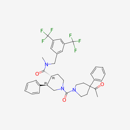 CC(=O)C1(c2ccccc2)CCN(C(=O)N2CC[C@@H](C(=O)N(C)Cc3cc(C(F)(F)F)cc(C(F)(F)F)c3)[C@H](c3ccccc3)C2)CC1